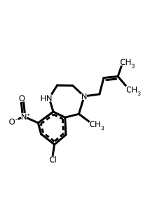 CC(C)=CCN1CCNc2c(cc(Cl)cc2[N+](=O)[O-])C1C